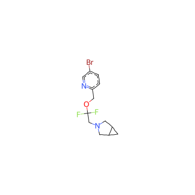 FC(F)(CN1CC2CC2C1)OCc1ccc(Br)cn1